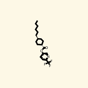 CCCCCC[C@H]1CC[C@H](C(=O)Oc2ccc(C(F)(F)F)nc2)CC1